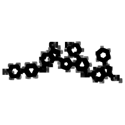 Cc1cn(C2CCCCC2)c2nc(Nc3ccc(N4CCNCC4)c(C4CCC(n5cc(C)c6cnc(Nc7ccc(N8CCNCC8)cc7)nc65)C4)c3)ncc12